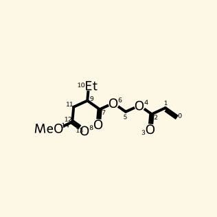 C=CC(=O)OCOC(=O)C(CC)CC(=O)OC